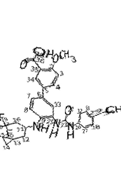 COc1ccc(-c2ccc(NC(CC3CC3)CC(F)(F)F)c(NC(=O)Nc3ccc(C)cc3)c2)cc1C(=O)O